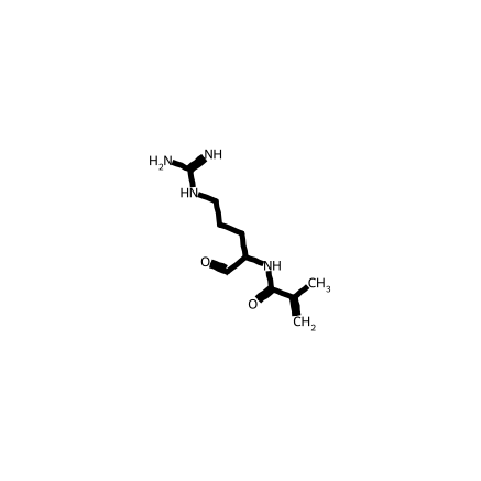 C=C(C)C(=O)NC([C]=O)CCCNC(=N)N